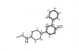 CSNC1CCN(c2ccc(Cl)c(-c3ccccn3)n2)CC1